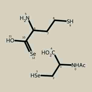 CC(=O)NC(C[SeH])C(=O)O.NC(CCS)C(O)=[Se]